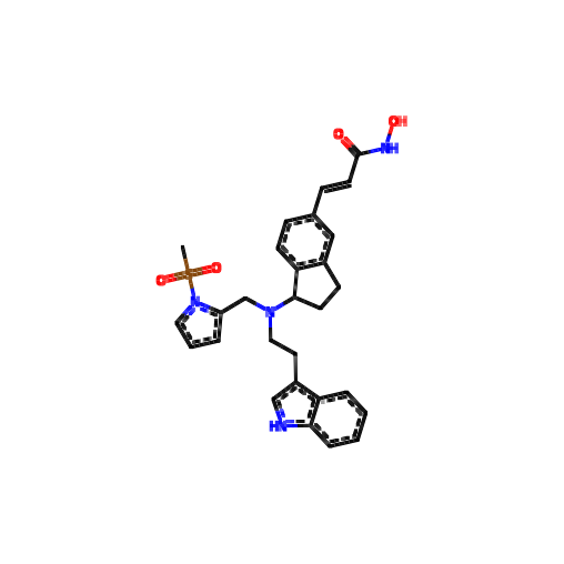 CS(=O)(=O)n1cccc1CN(CCc1c[nH]c2ccccc12)C1CCc2cc(C=CC(=O)NO)ccc21